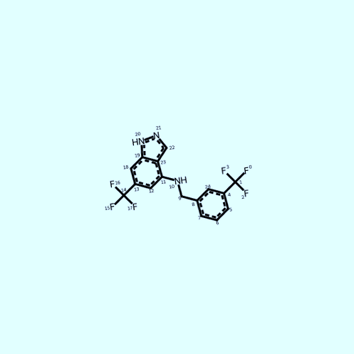 FC(F)(F)c1cccc(CNc2cc(C(F)(F)F)cc3[nH]ncc23)c1